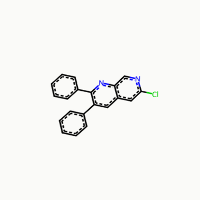 Clc1cc2cc(-c3ccccc3)c(-c3ccccc3)nc2cn1